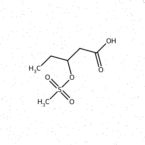 CCC(CC(=O)O)OS(C)(=O)=O